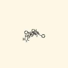 CCNC(=O)N(CC(C)(C)N1CCN(CCc2ccccc2)CC1)c1ccccc1